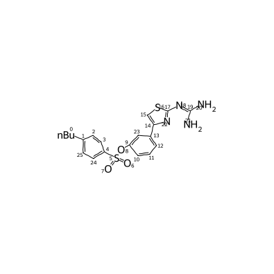 CCCCc1ccc(S(=O)(=O)Oc2cccc(-c3csc(N=C(N)N)n3)c2)cc1